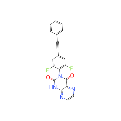 O=c1[nH]c2nccnc2c(=O)n1-c1c(F)cc(C#Cc2ccccc2)cc1F